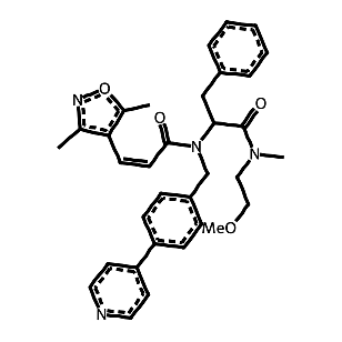 COCCN(C)C(=O)C(Cc1ccccc1)N(Cc1ccc(-c2ccncc2)cc1)C(=O)C=Cc1c(C)noc1C